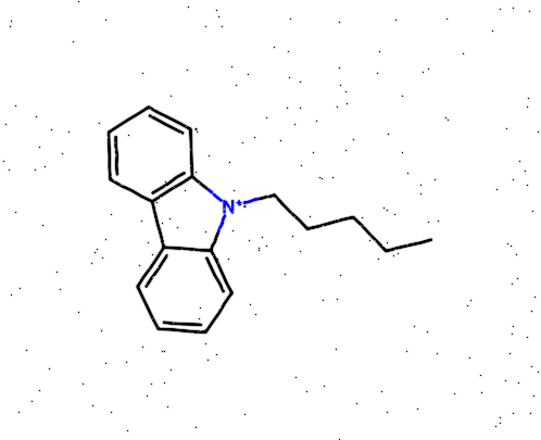 CCCCC[N+]1c2[c]cccc2-c2ccccc21